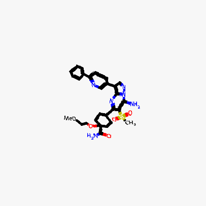 COCCOC1(C(N)=O)CCC(c2nc3c(-c4ccc(-c5ccccc5)nc4)cnn3c(N)c2S(C)(=O)=O)CC1